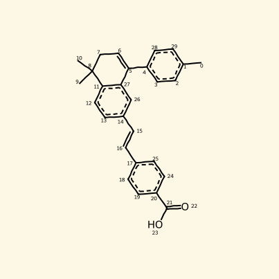 Cc1ccc(C2=CCC(C)(C)c3ccc(/C=C/c4ccc(C(=O)O)cc4)cc32)cc1